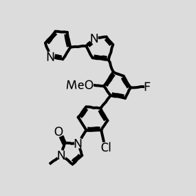 COc1c(-c2ccnc(-c3cccnc3)c2)cc(F)cc1-c1ccc(-n2ccn(C)c2=O)c(Cl)c1